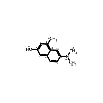 Cc1cc(O)cc2ccc(N(C)C)cc12